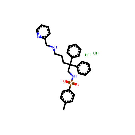 Cc1ccc(S(=O)(=O)NCC(CCCNCc2ccccn2)(c2ccccc2)c2ccccc2)cc1.Cl.Cl